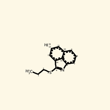 CCCSC1=Nc2cccc3cccc1c23.I